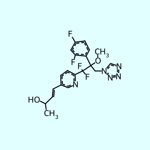 COC(Cn1cnnn1)(c1ccc(F)cc1F)C(F)(F)c1ccc(/C=C/C(C)O)cn1